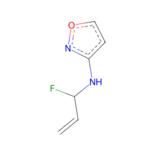 C=CC(F)Nc1ccon1